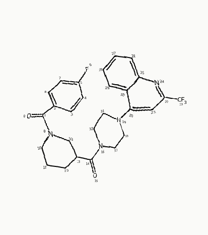 O=C(c1ccc(F)cc1)N1CCCC(C(=O)N2CCN(c3cc(C(F)(F)F)nc4ccccc34)CC2)C1